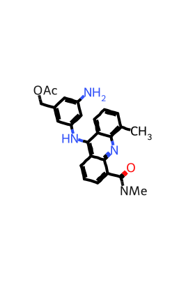 CNC(=O)c1cccc2c(Nc3cc(N)cc(COC(C)=O)c3)c3cccc(C)c3nc12